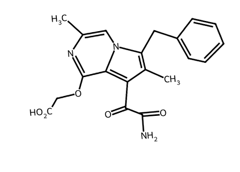 Cc1cn2c(Cc3ccccc3)c(C)c(C(=O)C(N)=O)c2c(OCC(=O)O)n1